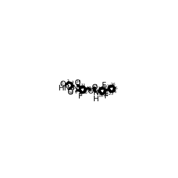 O=C1CCC(N2Cc3c(F)cc(COC(=O)Nc4cc(F)c(-c5ccccc5)c(F)c4)cc3C2=O)C(=O)N1